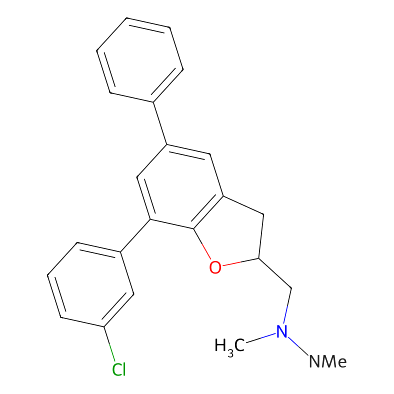 CNN(C)CC1Cc2cc(-c3ccccc3)cc(-c3cccc(Cl)c3)c2O1